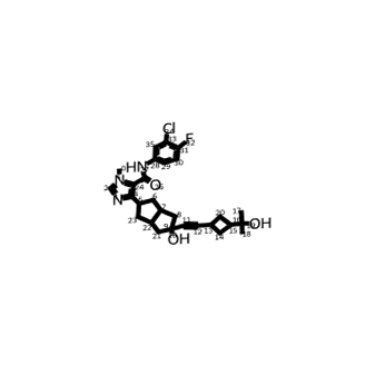 Cn1cnc(C2CC3CC(O)(C#CC4CC(C(C)(C)O)C4)CC3C2)c1C(=O)Nc1ccc(F)c(Cl)c1